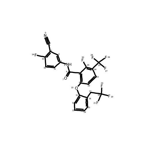 N#Cc1cc(NC(=O)c2c(Oc3ccccc3CC(F)(F)F)ccc(C(F)(F)F)c2F)ccc1F